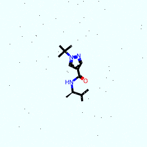 CC(C)[C@@H](C)NC(=O)c1cnn(C(C)(C)C)c1